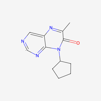 Cc1nc2cn[c]nc2n(C2CCCC2)c1=O